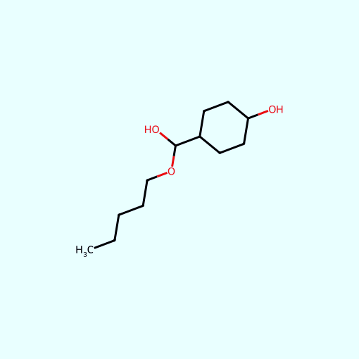 CCCCCOC(O)C1CCC(O)CC1